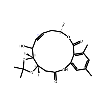 Cc1cc(C)c2c(c1)NC(=O)C[C@@H]1OC(C)(C)O[C@@H]1C(O)/C=C\C[C@H](C)OC2=O